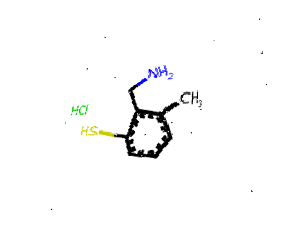 Cc1cccc(S)c1CN.Cl